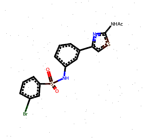 CC(=O)Nc1nc(-c2cccc(NS(=O)(=O)c3cccc(Br)c3)c2)cs1